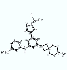 COc1ccnc(Nc2cc(N3CC4(CCN(C(C)=O)CC4)C3)nc(-c3cnn(C(F)F)c3)n2)c1